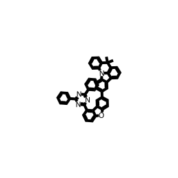 CC1(C)c2ccccc2-n2c3ccc(-c4ccc5oc6cccc(-c7nc(-c8ccccc8)nc(-c8ccccc8)n7)c6c5c4)cc3c3cccc1c32